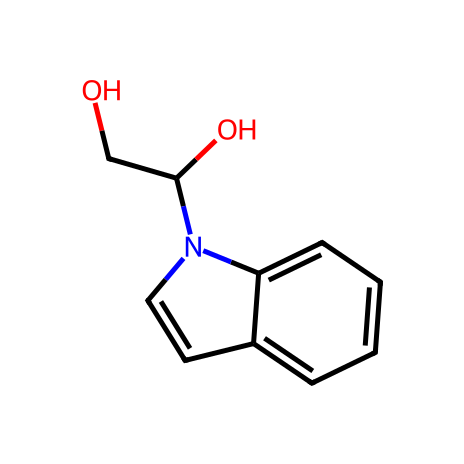 OCC(O)n1ccc2ccccc21